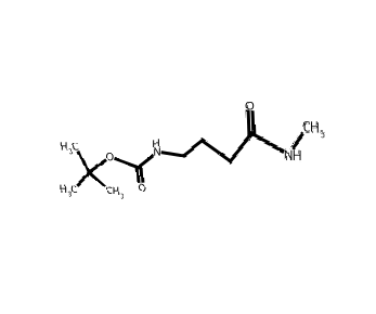 CNC(=O)CCCNC(=O)OC(C)(C)C